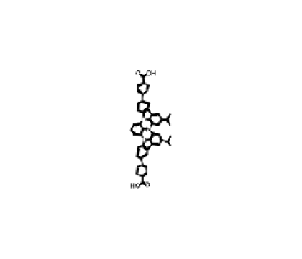 CC(C)c1cc2c3c(c1)N1c4cc(C(C)C)cc5c4B(c4ccc(-c6ccc(C(=O)O)cc6)cc4-5)c4cccc(c41)B3c1ccc(-c3ccc(C(=O)O)cc3)cc1-2